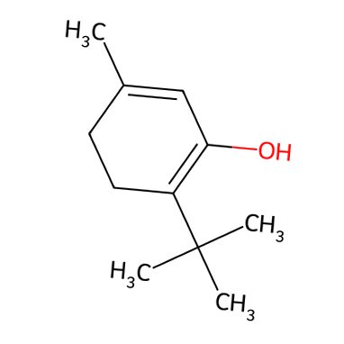 CC1=CC(O)=C(C(C)(C)C)CC1